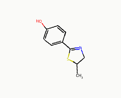 CC1CN=C(c2ccc(O)cc2)S1